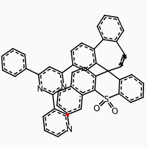 O=S1(=O)c2ccccc2C2(c3ccccc3-c3ccccc3-c3ccc(-c4cc(-c5ccccc5)nc(-c5cccnc5)n4)cc32)c2ccc3ccccc3c21